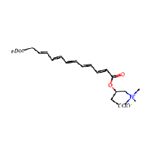 CCCCCCCCCCCC=CC=CC=CC=CC=CC(=O)OC(CC(=O)[O-])C[N+](C)(C)C